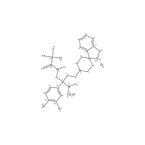 CN(CC(CCN1CCC2(CC1)c1ccccc1C[S@+]2[O-])(c1ccc(Cl)c(Cl)c1)N(C)C(=O)O)C(=O)C(F)(F)Cl